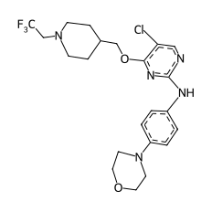 FC(F)(F)CN1CCC(COc2nc(Nc3ccc(N4CCOCC4)cc3)ncc2Cl)CC1